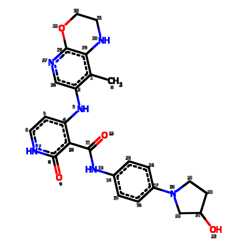 Cc1c(Nc2cc[nH]c(=O)c2C(=O)Nc2ccc(N3CCC(O)C3)cc2)cnc2c1NCCO2